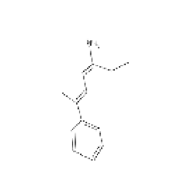 CC/C(N)=C\C=C(/C)c1ccccc1